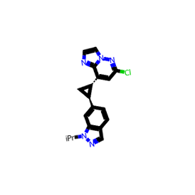 CC(C)n1ncc2ccc([C@H]3C[C@@H]3c3cc(Cl)nn4ccnc34)cc21